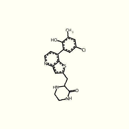 Cc1cc(Cl)cc(-c2ccnc3cc(CC4NCCNC4=O)sc23)c1O